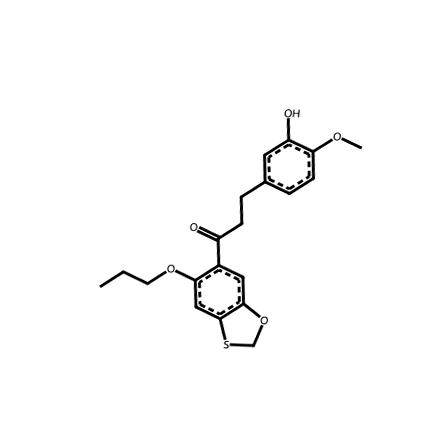 CCCOc1cc2c(cc1C(=O)CCc1ccc(OC)c(O)c1)OCS2